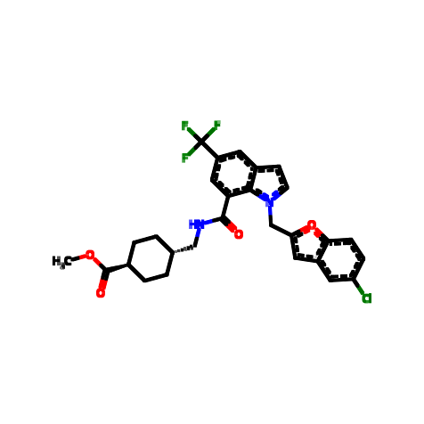 COC(=O)[C@H]1CC[C@H](CNC(=O)c2cc(C(F)(F)F)cc3ccn(Cc4cc5cc(Cl)ccc5o4)c23)CC1